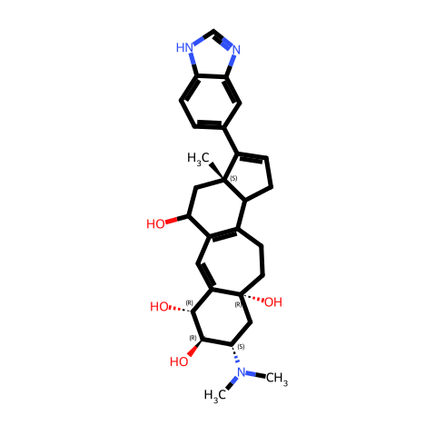 CN(C)[C@H]1C[C@]2(O)CCC3=C(C=C2[C@@H](O)[C@@H]1O)C(O)C[C@]1(C)C(c2ccc4[nH]cnc4c2)=CCC31